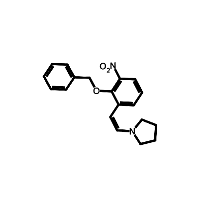 O=[N+]([O-])c1cccc(/C=C\N2CCCC2)c1OCc1ccccc1